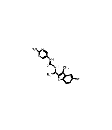 Cc1c(C(C)NC(=O)Nc2cnc(N)nc2)oc2ccc(F)cc12